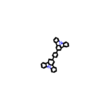 c1ccc2c(c1)c1cc(-c3ccc(-c4cc5c6ccccc6n6c7ccccc7c(c4)c56)cc3)cc3c4ccccc4n2c13